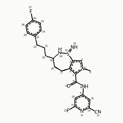 Cn1cc2c(c1C(=O)Nc1cc(F)nc(C#N)c1)CCC(CCCc1ccc(F)cc1)NS2=N